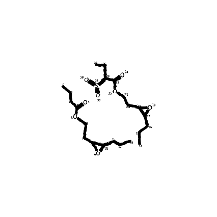 CCCC(=O)OCCC1OC1CCC.CCCC1OC1CCOC(=O)C(CC)=S(=O)=O